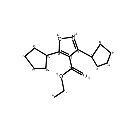 CCOC(=O)c1c(C2CCCC2)noc1C1CCCC1